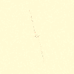 CCCCCC=CCC=CCCCCCCCCOc1cc(CO)c(OCCCCCCCCC=CCC=CCCCCC)cc1C